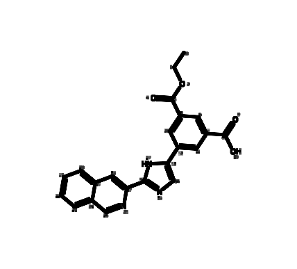 CCOC(=O)c1cc(C(=O)O)cc(-c2cnc(-c3cc4ccccc4cn3)[nH]2)c1